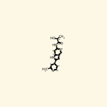 Cc1cc(-c2cc3cnc(NC(=O)C(C)O)cc3[nH]2)ccn1